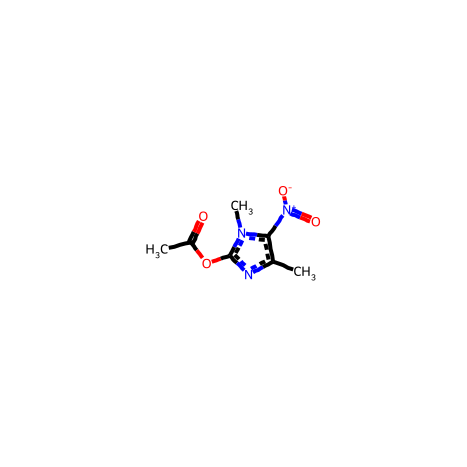 CC(=O)Oc1nc(C)c([N+](=O)[O-])n1C